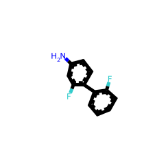 Nc1ccc(-c2ccccc2F)c(F)c1